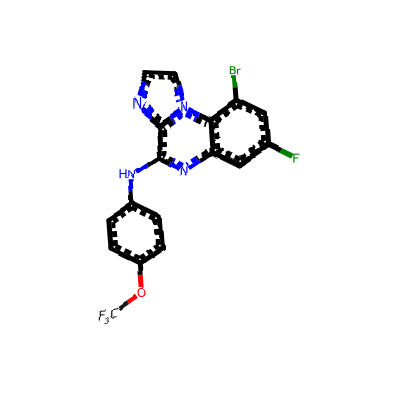 Fc1cc(Br)c2c(c1)nc(Nc1ccc(OC(F)(F)F)cc1)c1nccn12